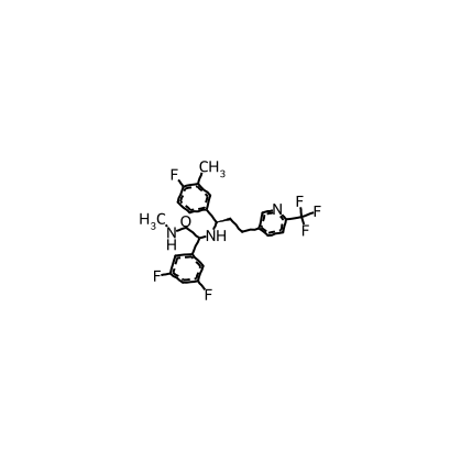 CNC(=O)C(N[C@H](CCc1ccc(C(F)(F)F)nc1)c1ccc(F)c(C)c1)c1cc(F)cc(F)c1